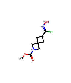 CC(C)(C)OC(=O)N1CC2(CC(/C(Cl)=N/O)C2)C1